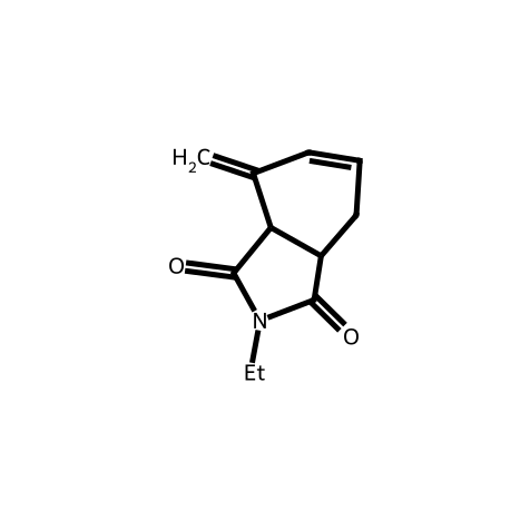 C=C1C=CCC2C(=O)N(CC)C(=O)C12